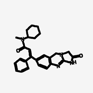 CN(C(=O)C=C(c1ccccc1)c1ccc2c(c1)CN1CC(=O)NC1=N2)C1CCCCC1